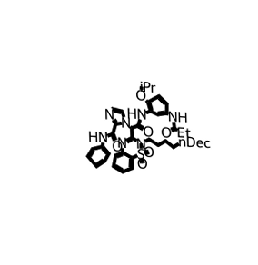 CCCCCCCCCCCCCCN1C(C(C(=O)Nc2cc(NC(=O)CC)ccc2OC(C)C)n2ccnc2C(=O)Nc2ccccc2)=Nc2ccccc2S1(=O)=O